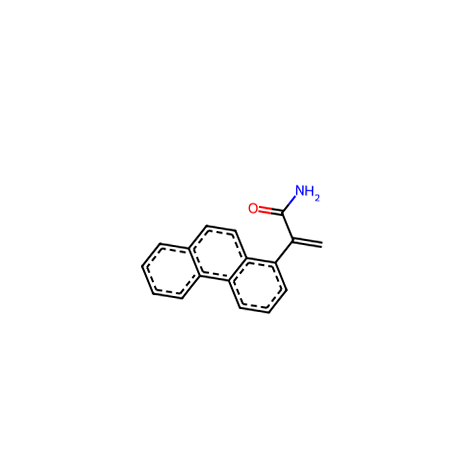 C=C(C(N)=O)c1cccc2c1ccc1ccccc12